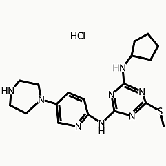 CSc1nc(Nc2ccc(N3CCNCC3)cn2)nc(NC2CCCC2)n1.Cl